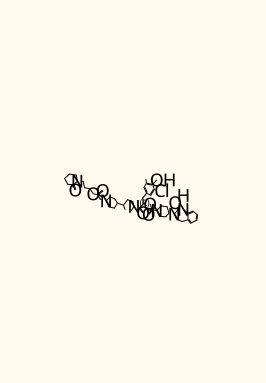 Cc1cc(C[C@@H](OC(=O)N2CCC(N3CCc4ccccc4NC3=O)CC2)C(=O)N(C)CCC(C)C2CCN(CC(=O)OCCCN3CCCCC3=O)CC2)cc(Cl)c1O